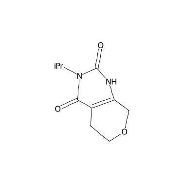 CC(C)n1c(=O)[nH]c2c(c1=O)CCOC2